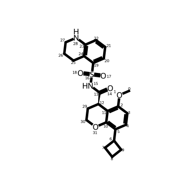 COc1ccc(C2CCC2)c2c1[C@H](C(=O)NS(=O)(=O)c1cccc3c1CCCN3)CCO2